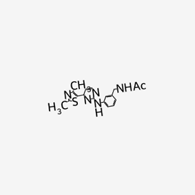 CC(=O)NCc1cccc(Nc2nccc(-c3sc(C)nc3C)n2)c1